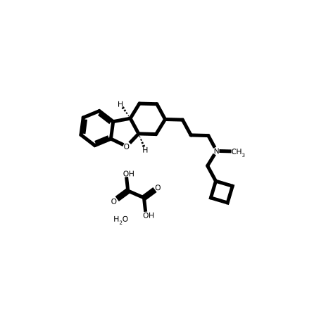 CN(CCCC1CC[C@@H]2c3ccccc3O[C@@H]2C1)CC1CCC1.O.O=C(O)C(=O)O